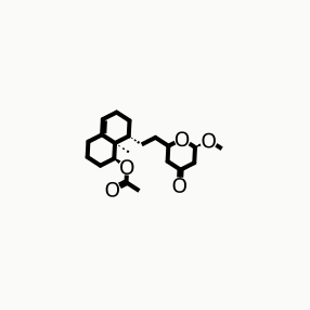 CO[C@@H]1CC(=O)CC(CC[C@H]2CCC=C3CCC[C@H](OC(C)=O)[C@@]32C)O1